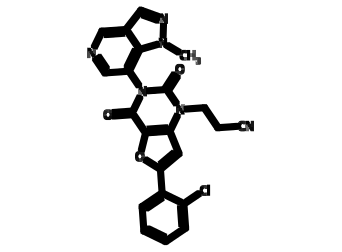 Cn1ncc2cncc(-n3c(=O)c4oc(-c5ccccc5Cl)cc4n(CCC#N)c3=O)c21